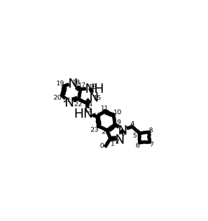 Cc1nn(CC2CCC2)c2ccc(Nc3n[nH]c4nccnc34)cc12